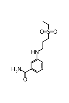 CCS(=O)(=O)CCCNc1cccc(C(N)=O)c1